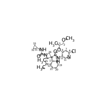 COC[C@H](C)Oc1cc(Cl)ncc1NC(=O)C1(c2ccccc2C(C)C)CN(C(=O)NC2CC2)C1